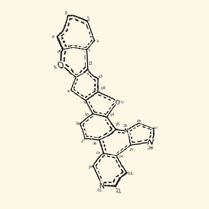 c1ccc2c(c1)oc1cc3c(cc12)oc1c3ccc2c3cnccc3c3nccn3c21